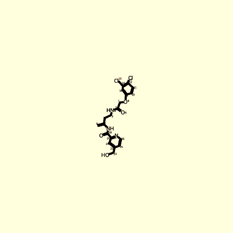 C=C(CCNC(=O)COc1ccc(Cl)c(Cl)c1)NC(=O)c1cc(CO)ccn1